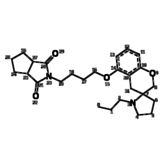 CCCN1CCCC12COc1cccc(OCCCCN3C(=O)C4CCCC4C3=O)c1C2